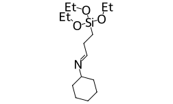 CCO[Si](CCC=NC1CCCCC1)(OCC)OCC